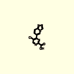 O=C(O)c1ncc(Cl)c(-c2ccc3nncn3c2)n1